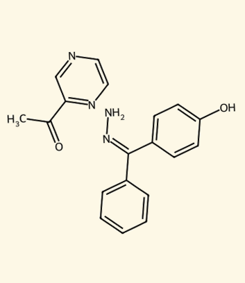 CC(=O)c1cnccn1.NN=C(c1ccccc1)c1ccc(O)cc1